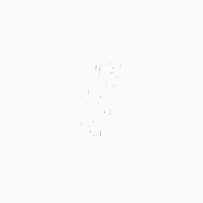 NC(=O)Oc1ccc(F)c(Oc2ccc3nc[nH]c(=O)c3c2F)c1Cl